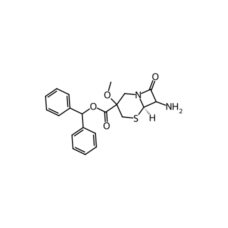 COC1(C(=O)OC(c2ccccc2)c2ccccc2)CS[C@@H]2C(N)C(=O)N2C1